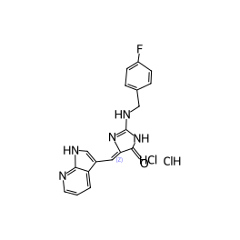 Cl.Cl.O=C1NC(NCc2ccc(F)cc2)=N/C1=C\c1c[nH]c2ncccc12